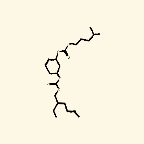 CCCCC(CC)COC(=O)OC1CCCC(OC(=O)OCCCC(C)C)C1